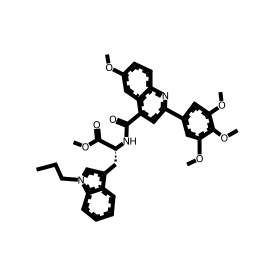 CCCn1cc(C[C@@H](NC(=O)c2cc(-c3cc(OC)c(OC)c(OC)c3)nc3ccc(OC)cc23)C(=O)OC)c2ccccc21